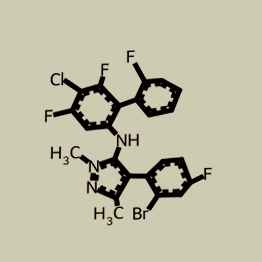 Cc1nn(C)c(Nc2cc(F)c(Cl)c(F)c2-c2ccccc2F)c1-c1ccc(F)cc1Br